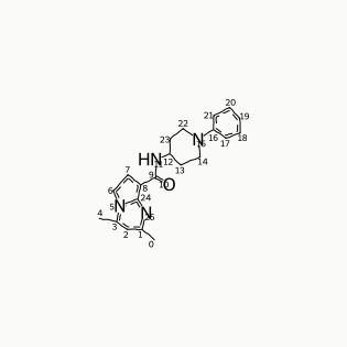 Cc1cc(C)n2ccc(C(=O)NC3CCN(c4ccccc4)CC3)c2n1